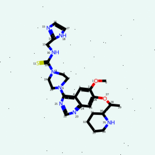 COc1cc2c(N3CCN(C(=S)NCc4ncc[nH]4)CC3)ncnc2cc1OC(C)C1CCCCN1